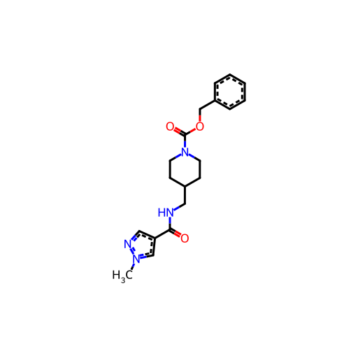 Cn1cc(C(=O)NCC2CCN(C(=O)OCc3ccccc3)CC2)cn1